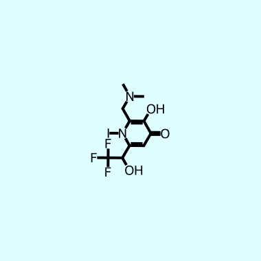 CN(C)Cc1c(O)c(=O)cc(C(O)C(F)(F)F)n1I